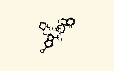 O=C(c1cn(C[C@@H]2CCCN2C(=O)O)c2cc(Cl)ccc12)N1CCC2(CC1)OCc1cccnc12